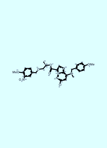 COc1ccc(CN(C)c2cc(Cl)nn3c(C(=O)O[C@H](C)COCc4ccc(OC)c([N+](=O)[O-])c4)cnc23)cc1